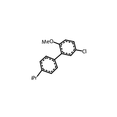 COc1ccc(Cl)cc1-c1ccc(C(C)C)cc1